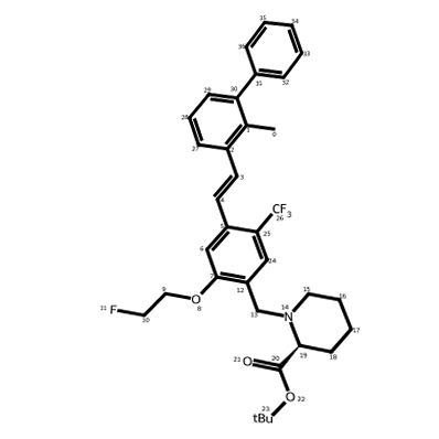 Cc1c(/C=C/c2cc(OCCF)c(CN3CCCC[C@H]3C(=O)OC(C)(C)C)cc2C(F)(F)F)cccc1-c1ccccc1